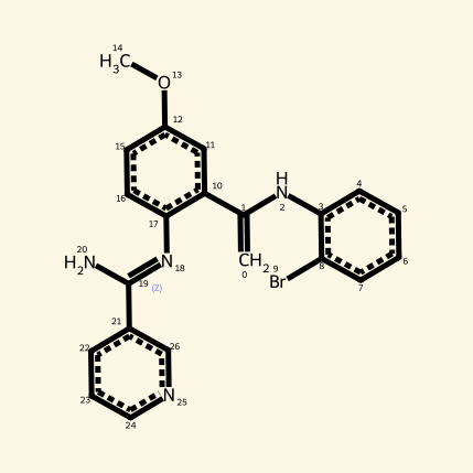 C=C(Nc1ccccc1Br)c1cc(OC)ccc1/N=C(\N)c1cccnc1